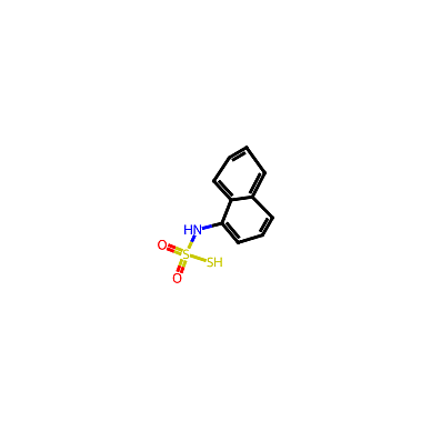 O=S(=O)(S)Nc1cccc2ccccc12